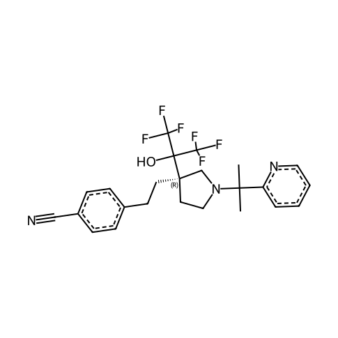 CC(C)(c1ccccn1)N1CC[C@@](CCc2ccc(C#N)cc2)(C(O)(C(F)(F)F)C(F)(F)F)C1